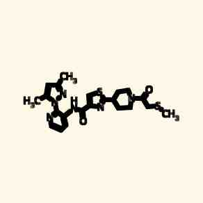 CSCC(=O)N1CCC(c2nc(C(=O)Nc3cccnc3-n3nc(C)cc3C)cs2)CC1